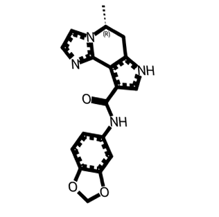 C[C@@H]1Cc2[nH]cc(C(=O)Nc3ccc4c(c3)OCO4)c2-c2nccn21